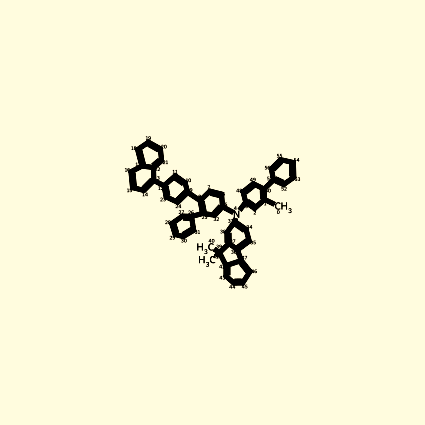 Cc1cc(N(c2ccc(-c3ccc(-c4cccc5ccccc45)cc3)c(-c3ccccc3)c2)c2ccc3c(c2)C(C)(C)c2ccccc2-3)ccc1-c1ccccc1